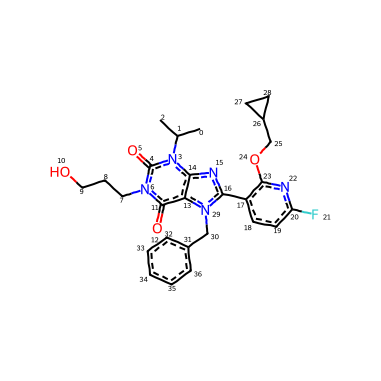 CC(C)n1c(=O)n(CCCO)c(=O)c2c1nc(-c1ccc(F)nc1OCC1CC1)n2Cc1ccccc1